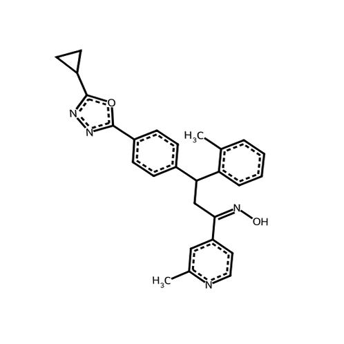 Cc1cc(/C(CC(c2ccc(-c3nnc(C4CC4)o3)cc2)c2ccccc2C)=N\O)ccn1